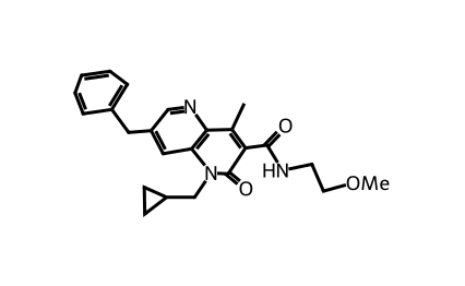 COCCNC(=O)c1c(C)c2ncc(Cc3ccccc3)cc2n(CC2CC2)c1=O